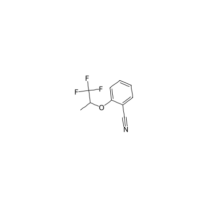 CC(Oc1ccccc1C#N)C(F)(F)F